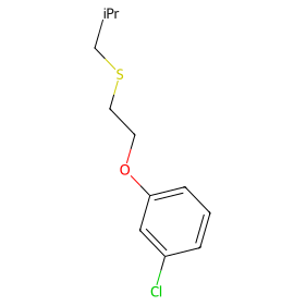 CC(C)CSCCOc1cccc(Cl)c1